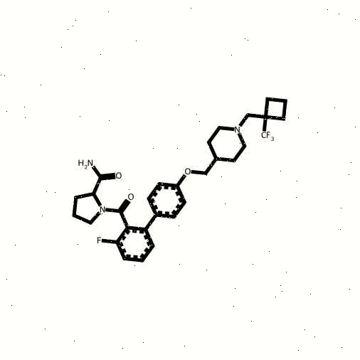 NC(=O)C1CCCN1C(=O)c1c(F)cccc1-c1ccc(OCC2CCN(CC3(C(F)(F)F)CCC3)CC2)cc1